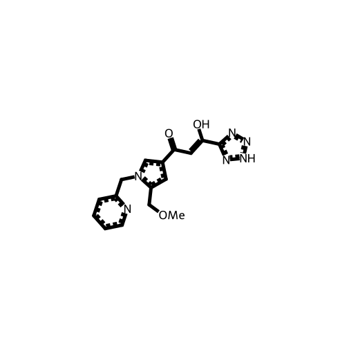 COCc1cc(C(=O)C=C(O)c2nn[nH]n2)cn1Cc1ccccn1